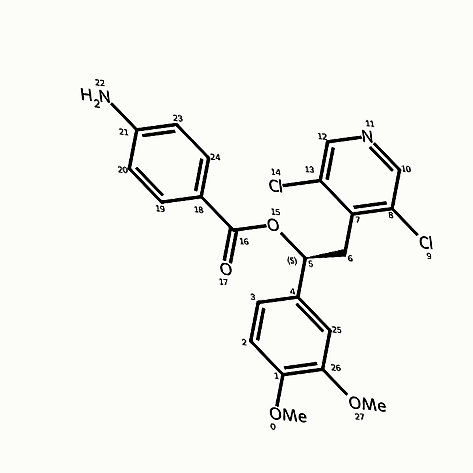 COc1ccc([C@H](Cc2c(Cl)cncc2Cl)OC(=O)c2ccc(N)cc2)cc1OC